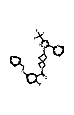 O=C(c1cc(OCc2ccccc2)ccc1F)N1CC2(CC(n3nc(C(F)(F)F)cc3-c3ccccn3)C2)C1